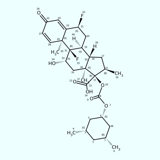 C[C@@H]1C[C@H](C)C[C@H](OC(=O)O[C@]2(C(=O)O)[C@H](C)C[C@H]3[C@@H]4C[C@H](F)C5=CC(=O)C=C[C@]5(C)[C@@]4(F)[C@@H](O)C[C@@]32C)C1